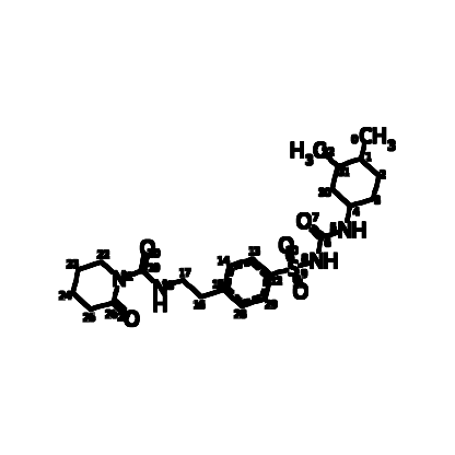 CC1CCC(NC(=O)NS(=O)(=O)c2ccc(CCNC(=O)N3CCCCC3=O)cc2)CC1C